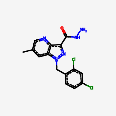 Cc1cnc2c(C(=O)NN)nn(Cc3ccc(Cl)cc3Cl)c2c1